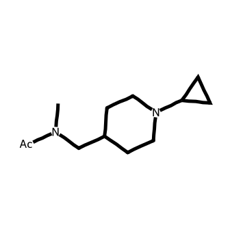 CC(=O)N(C)CC1CCN(C2CC2)CC1